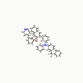 CC1(C)c2ccccc2-c2ccc(N(c3ccccc3)c3cccc(-c4cc5ccccc5c5c4oc4cccc(-c6ccncc6)c45)c3)cc21